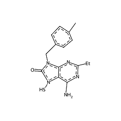 CCc1nc(N)c2c(n1)n(Cc1ccc(C)cc1)c(=O)n2S